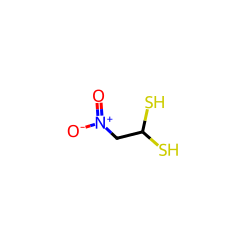 O=[N+]([O-])CC(S)S